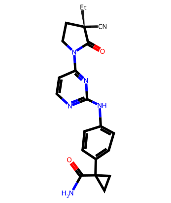 CC[C@]1(C#N)CCN(c2ccnc(Nc3ccc(C4(C(N)=O)CC4)cc3)n2)C1=O